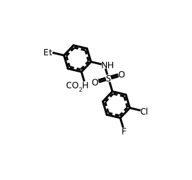 CCc1ccc(NS(=O)(=O)c2ccc(F)c(Cl)c2)c(C(=O)O)c1